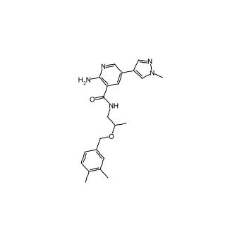 Cc1ccc(COC(C)CNC(=O)c2cc(-c3cnn(C)c3)cnc2N)cc1C